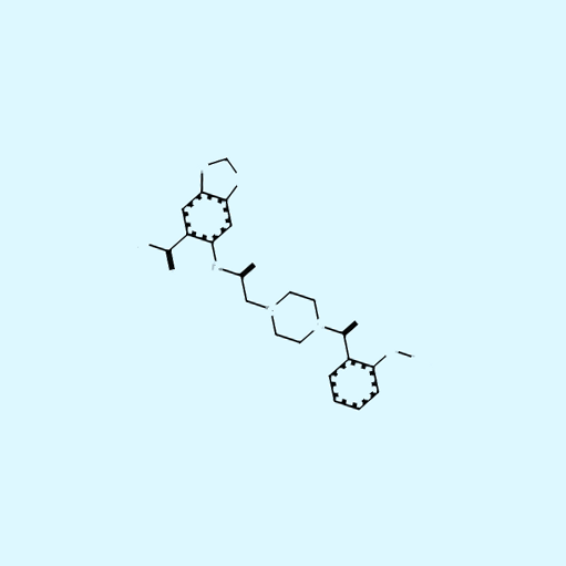 COc1ccccc1C(=O)N1CCN(CC(=O)Nc2cc3c(cc2C(C)=O)OCO3)CC1